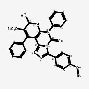 CCOC(=O)C1=C(c2ccccc2)c2c(n(-c3ccccc3)c(=O)n3c(-c4ccc(OCC)cc4)nnc23)NC1C